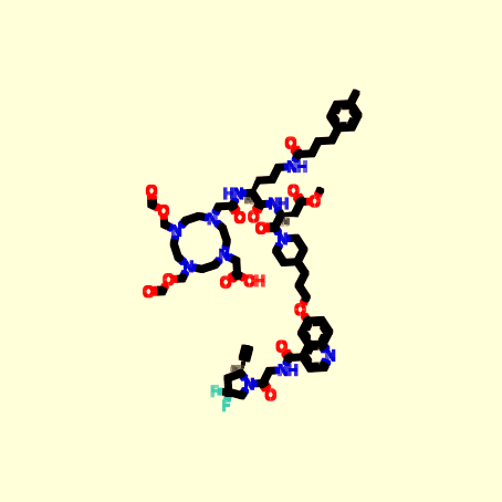 C#C[C@H]1CC(F)(F)CN1C(=O)CNC(=O)c1ccnc2ccc(OCCCC3CCN(C(=O)[C@H](CC(=O)OC)NC(=O)[C@H](CCCNC(=O)CCCc4ccc(C)cc4)NC(=O)CN4CCN(COC=O)CCN(COC=O)CCN(CC(=O)O)CC4)CC3)cc12